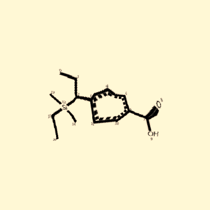 CCC(c1ccc(C(=O)O)cc1)[Si](C)(C)CC